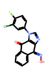 O=C1c2ccccc2C(=NO)c2ncn(-c3ccc(F)c(Cl)c3)c21